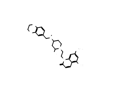 COc1cc(C=O)c2ccc(=O)n(CCN3CCC(N(Cc4ccc5c(c4)OCCO5)C(=O)O)CC3C(C)(C)C)c2c1